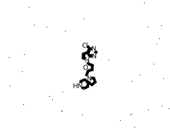 Clc1ncnc2c1ccn2C1CCC(CN2CCCC23CCNCC3)O1